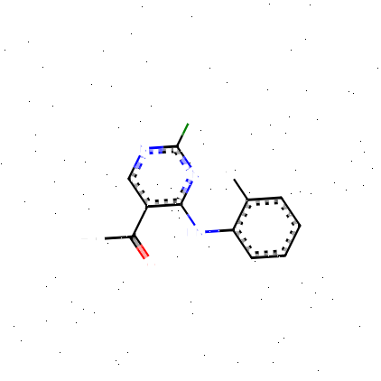 CC(=O)c1cnc(Cl)nc1Nc1ccccc1C